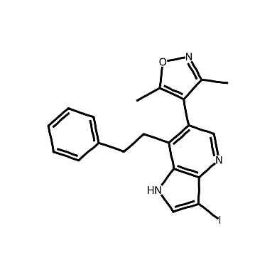 Cc1noc(C)c1-c1cnc2c(I)c[nH]c2c1CCc1ccccc1